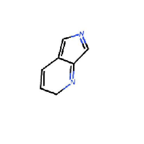 C1=CC2=CN=CC2=NC1